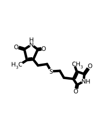 CC1=C(CCSCCC2=C(C)C(=O)NC2=O)C(=O)NC1=O